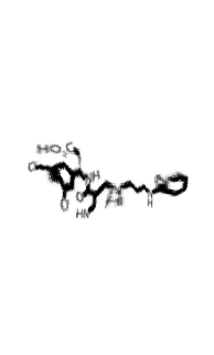 N=C/C(=C\NCCCNc1ccccn1)C(=O)N[C@@H](CC(=O)O)c1cc(Cl)cc(Cl)c1